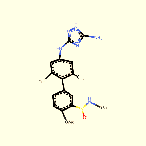 COc1ccc(-c2c(C)cc(Nc3n[nH]c(N)n3)cc2C(F)(F)F)cc1[S+]([O-])NC(C)(C)C